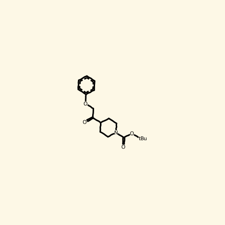 CC(C)(C)OC(=O)N1CCC(C(=O)COc2ccccc2)CC1